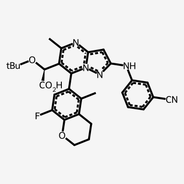 Cc1nc2cc(Nc3cccc(C#N)c3)nn2c(-c2cc(F)c3c(c2C)CCCO3)c1[C@H](OC(C)(C)C)C(=O)O